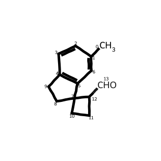 Cc1ccc2c(c1)C1(CC2)CCC1C=O